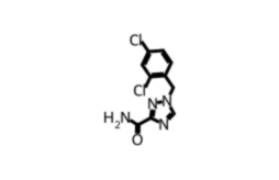 NC(=O)c1ncn(Cc2ccc(Cl)cc2Cl)n1